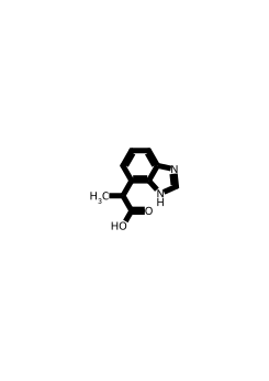 CC(C(=O)O)c1cccc2nc[nH]c12